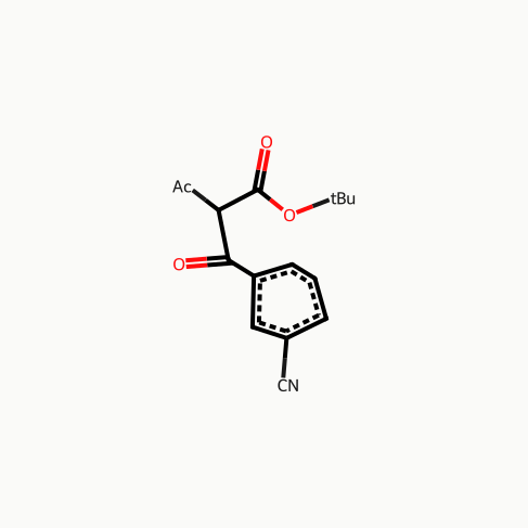 CC(=O)C(C(=O)OC(C)(C)C)C(=O)c1cccc(C#N)c1